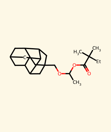 CCC(C)(C)C(=O)OC(C)OCC12CC3C4CC5CC3C(C1)C(C5)C4C2